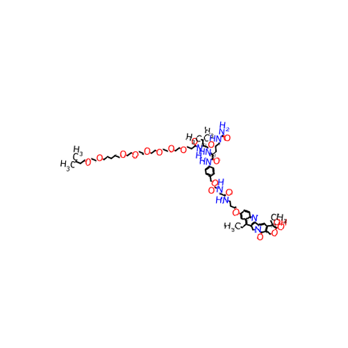 CCc1c2c(nc3ccc(OCCCNC(=O)CNC(=O)OCc4ccc(NC(=O)[C@H](CCCNC(N)=O)NC(=O)[C@@H](NC(=O)CCOCCOCCOCCOCCOCCOCCCCCOCCOCCC(C)C)C(C)C)cc4)cc13)-c1cc3c(c(=O)n1C2)COC(=O)[C@]3(O)CC